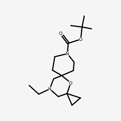 CCN1CC2(CCN(C(=O)OC(C)(C)C)CC2)OC2(CC2)C1